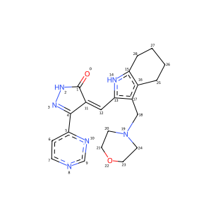 O=C1NN=C(c2ccncn2)C1=Cc1[nH]c2c(c1CN1CCOCC1)CCCC2